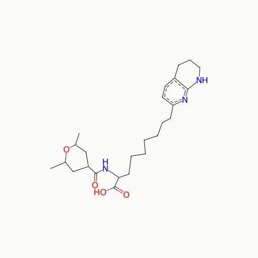 CC1CC(C(=O)NC(CCCCCCCc2ccc3c(n2)NCCC3)C(=O)O)CC(C)O1